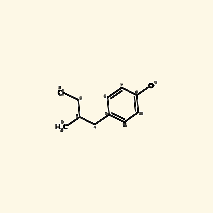 CC(CCl)Cc1ccc([O])cc1